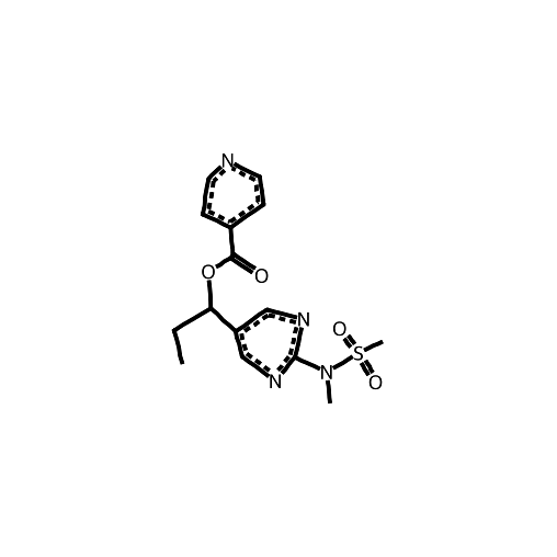 CCC(OC(=O)c1ccncc1)c1cnc(N(C)S(C)(=O)=O)nc1